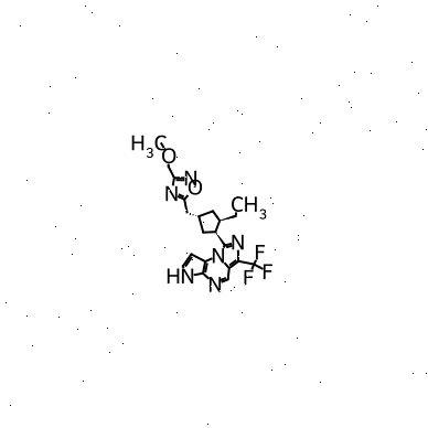 CC[C@@H]1C[C@@H](Cc2nc(COC)no2)C[C@@H]1c1nc(C(F)(F)F)c2cnc3[nH]ccc3n12